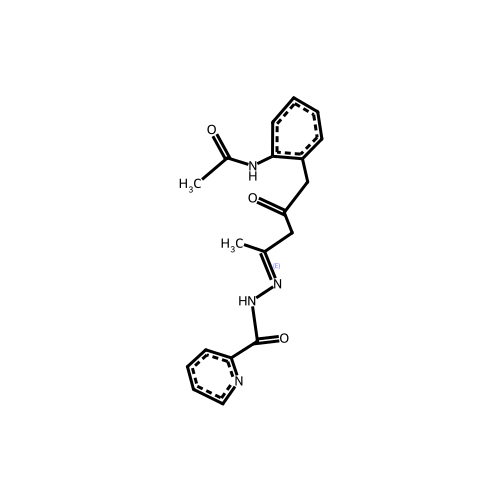 CC(=O)Nc1ccccc1CC(=O)C/C(C)=N/NC(=O)c1ccccn1